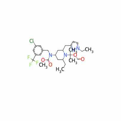 CCC1CC(N(Cc2cc(Cl)cc(C(F)(F)F)c2)C(=O)OC)CC(Cc2ccn(CC)n2)N1C(C)(C)OC=O